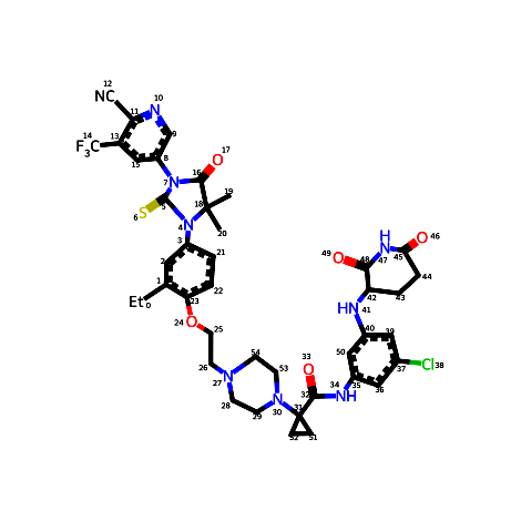 CCc1cc(N2C(=S)N(c3cnc(C#N)c(C(F)(F)F)c3)C(=O)C2(C)C)ccc1OCCN1CCN(C2(C(=O)Nc3cc(Cl)cc(NC4CCC(=O)NC4=O)c3)CC2)CC1